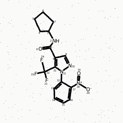 O=C(NC1CCCC1)c1cnn(-c2ccccc2[N+](=O)[O-])c1C(F)(F)F